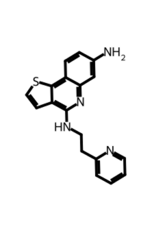 Nc1ccc2c(c1)nc(NCCc1ccccn1)c1ccsc12